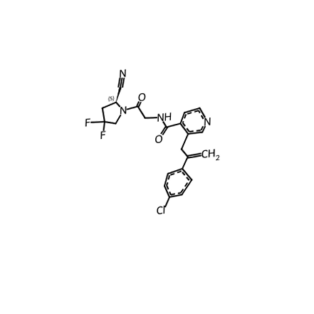 C=C(Cc1cnccc1C(=O)NCC(=O)N1CC(F)(F)C[C@H]1C#N)c1ccc(Cl)cc1